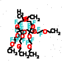 C=CCOCCC(F)(F)OC(F)(F)C(COCC(F)(F)COCC=C)(COCC(F)(F)COCC=C)COCC(COCC(F)(F)COCC=C)(C(F)(F)OC(F)(F)CCOCC=C)C(F)(F)OC(F)(F)CCOCC=C